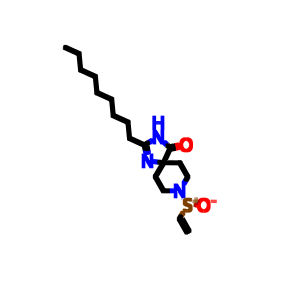 C=C[S@+]([O-])N1CCC2(CC1)N=C(CCCCCCCCC)NC2=O